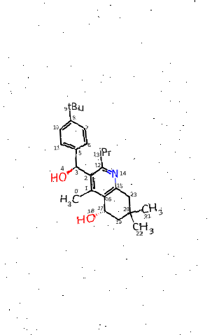 Cc1c([C@@H](O)c2ccc(C(C)(C)C)cc2)c(C(C)C)nc2c1[C@@H](O)CC(C)(C)C2